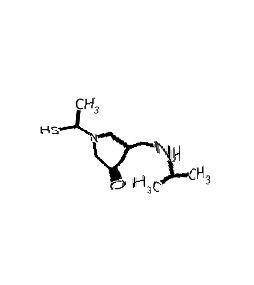 CC(C)NC1CN(C(C)S)CC1=O